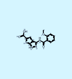 COc1ccccc1C(=O)Nc1n[nH]c2sc(C(=O)O)cc12